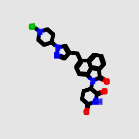 O=C1CCC(N2C(=O)c3cccc4c(Cc5cnn(C6CCN(Cl)CC6)c5)ccc2c34)C(=O)N1